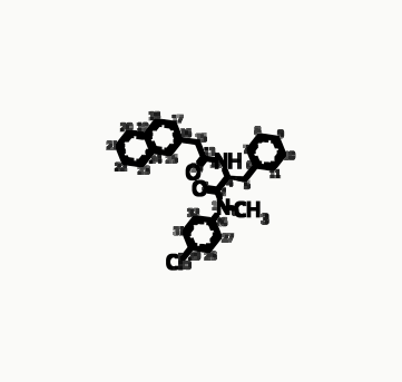 CN(C(=O)[C@H](Cc1ccccc1)NC(=O)Cc1ccc2ccccc2c1)c1ccc(Cl)cc1